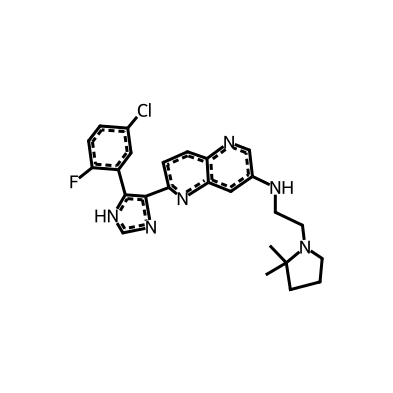 CC1(C)CCCN1CCNc1cnc2ccc(-c3nc[nH]c3-c3cc(Cl)ccc3F)nc2c1